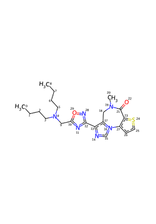 CCCCN(CCCC)Cc1nc(-c2ncn3c2CN(C)C(=O)c2sccc2-3)no1